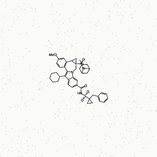 COc1ccc2c(c1)C1CC1(C(=O)N1C3CC1CN(C)C3)Cn1c-2c(C2CCCCC2)c2ccc(C(=O)NS(=O)(=O)C3(Cc4ccccc4)CC3)cc21